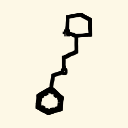 c1ccc(COCCC2CCCC[N]2)cc1